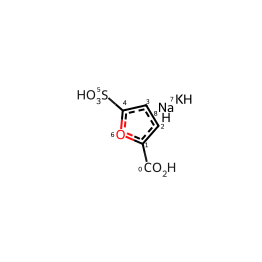 O=C(O)c1ccc(S(=O)(=O)O)o1.[KH].[NaH]